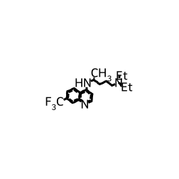 CCN(CC)CCC[C@H](C)Nc1ccnc2cc(C(F)(F)F)ccc12